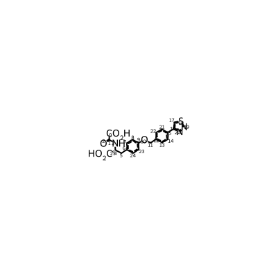 O=C(O)C(=O)N[C@H](Cc1ccc(OCc2ccc(-c3csnn3)cc2)cc1)C(=O)O